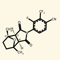 CC12CC[C@@](C)(O1)[C@H]1C(=O)N(c3ccc(C#N)c(C(F)(F)F)c3F)C(=O)[C@H]12